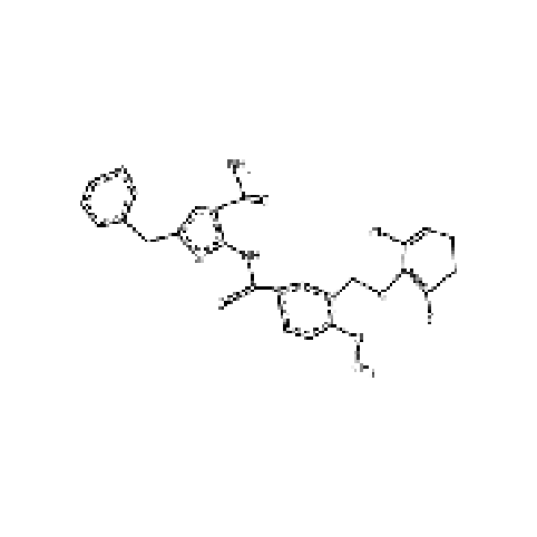 COc1ccc(C(=O)Nc2sc(Cc3ccccc3)cc2C(N)=O)cc1COC1=C(Cl)CCC=C1Cl